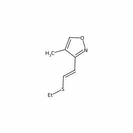 CCSC=Cc1nocc1C